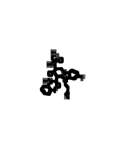 CC(=O)NC1CN2C(=C(C(=O)Nc3ccccc3F)C1=O)N(CCC#N)c1cc(F)ccc12